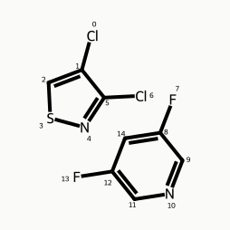 Clc1csnc1Cl.Fc1cncc(F)c1